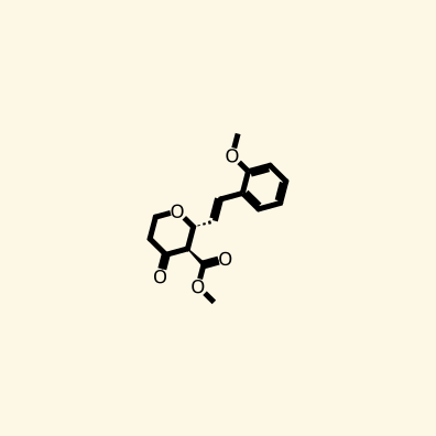 COC(=O)[C@H]1C(=O)CCO[C@@H]1/C=C/c1ccccc1OC